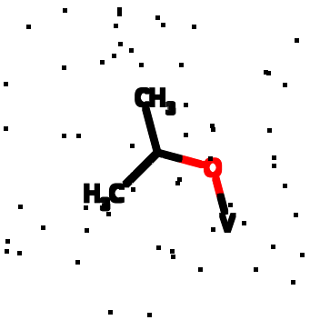 CC(C)[O][V]